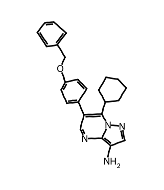 Nc1cnn2c(C3CCCCC3)c(-c3ccc(OCc4ccccc4)cc3)cnc12